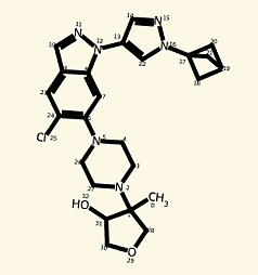 CC1(N2CCN(c3cc4c(cnn4-c4cnn(C56CC(C5)C6)c4)cc3Cl)CC2)COCC1O